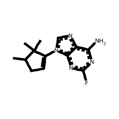 CC1CC=C(n2cnc3c(N)nc(F)nc32)C1(C)C